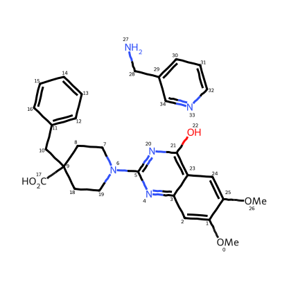 COc1cc2nc(N3CCC(Cc4ccccc4)(C(=O)O)CC3)nc(O)c2cc1OC.NCc1cccnc1